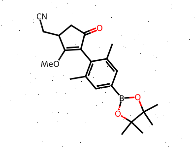 COC1=C(c2c(C)cc(B3OC(C)(C)C(C)(C)O3)cc2C)C(=O)CC1CC#N